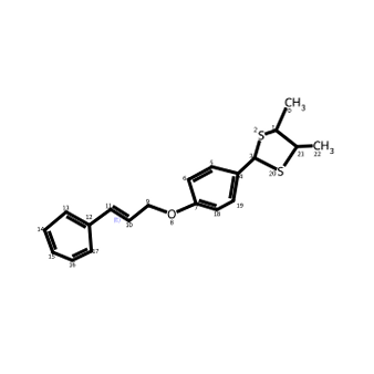 CC1SC(c2ccc(OC/C=C/c3ccccc3)cc2)SC1C